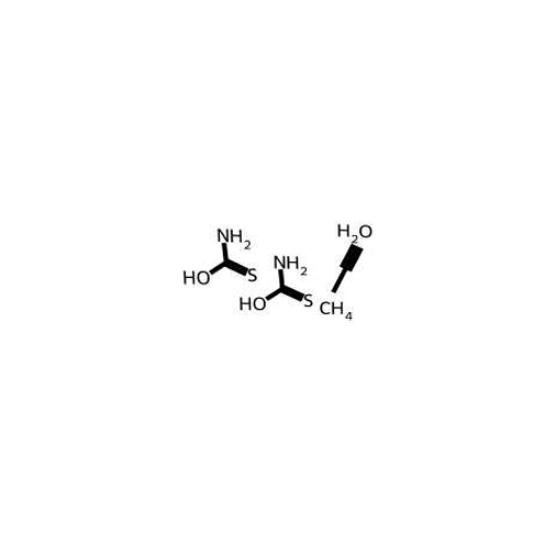 C.C#CC.NC(O)=S.NC(O)=S.O